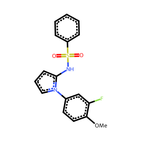 COc1ccc(-n2cccc2NS(=O)(=O)c2ccccc2)cc1F